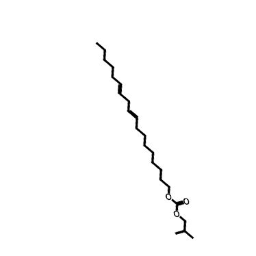 CCCCC/C=C/C/C=C/CCCCCCCCOC(=O)OCC(C)C